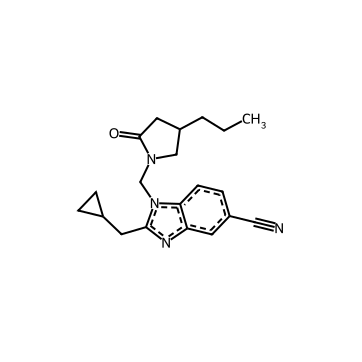 CCCC1CC(=O)N(Cn2c(CC3CC3)nc3cc(C#N)ccc32)C1